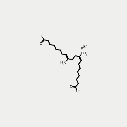 CC(=CCCCCCCC(=O)[O-])CCC(C)=CCCCCCCC(=O)[O-].[K+].[K+]